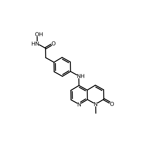 Cn1c(=O)ccc2c(Nc3ccc(CC(=O)NO)cc3)ccnc21